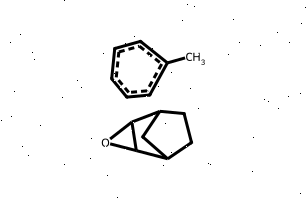 C1CC2CC1C1OC21.Cc1ccccc1